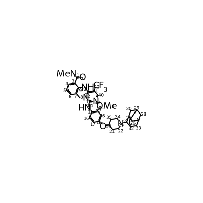 CNC(=O)c1cccc(C)c1Nc1nc(Nc2ccc(OC3CCN(C4C5CC6CC(C5)CC4C6)CC3)cc2OC)ncc1C(F)(F)F